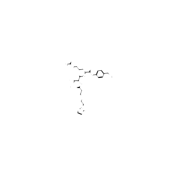 CC(C)[C@H](NC(=O)CCOCCN1OC=CO1)C(=O)N[C@@H](CCCNC(N)=O)C(=O)Nc1ccc(CBr)cc1